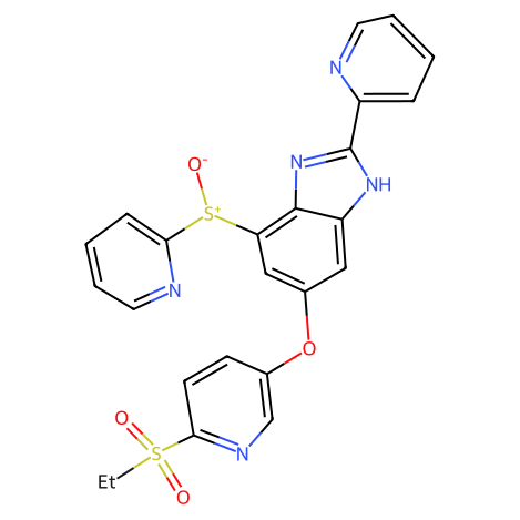 CCS(=O)(=O)c1ccc(Oc2cc([S+]([O-])c3ccccn3)c3nc(-c4ccccn4)[nH]c3c2)cn1